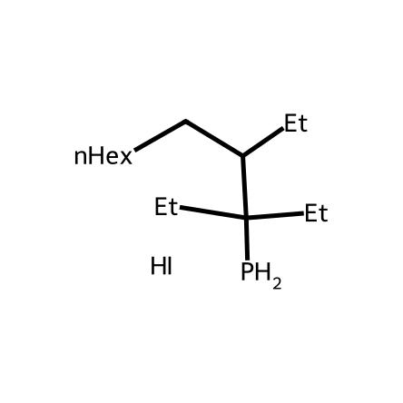 CCCCCCCC(CC)C(P)(CC)CC.I